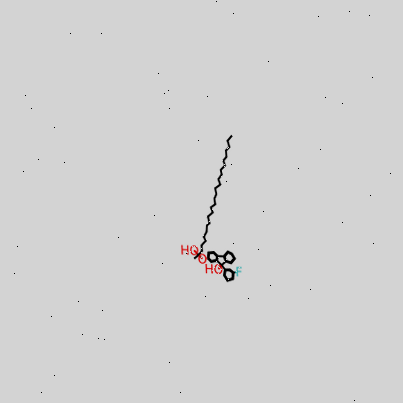 CCCCCCCCCCCCCCCCCCCCCCCCCC(C)(O)Oc1ccc2c(c1)C(O)(c1cccc(F)c1)c1ccccc1-2